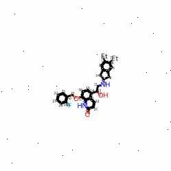 CCc1cc2c(cc1CC)CC(NCC(O)c1ccc(OCc3ccccc3F)c3[nH]c(=O)ccc13)C2